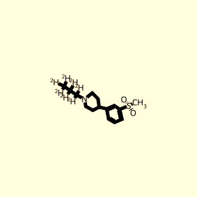 [2H]C([2H])([2H])C([2H])([2H])C([2H])([2H])N1CCC(c2cccc(S(C)(=O)=O)c2)CC1